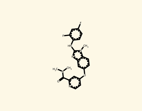 CN(C)C(=O)c1cc(Oc2ccc3c(c2)nc(Nc2ccc(F)cc2F)n3C)ccn1